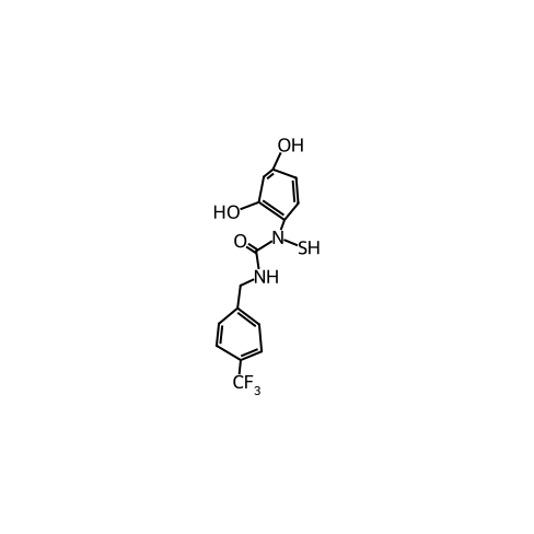 O=C(NCc1ccc(C(F)(F)F)cc1)N(S)c1ccc(O)cc1O